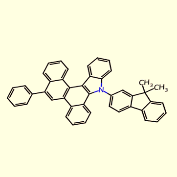 CC1(C)c2ccccc2-c2ccc(-n3c4ccccc4c4c5c6ccccc6c(-c6ccccc6)cc5c5ccccc5c43)cc21